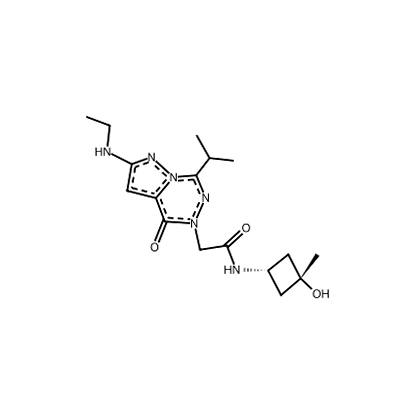 CCNc1cc2c(=O)n(CC(=O)N[C@H]3C[C@@](C)(O)C3)nc(C(C)C)n2n1